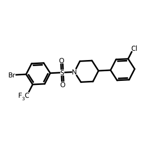 O=S(=O)(c1ccc(Br)c(C(F)(F)F)c1)N1CCC(C2C=CCC(Cl)=C2)CC1